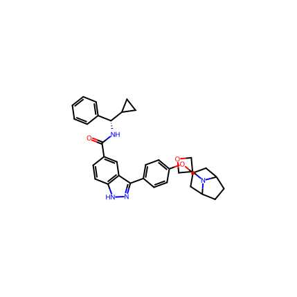 O=C(N[C@H](c1ccccc1)C1CC1)c1ccc2[nH]nc(-c3ccc(OC4CC5CCC(C4)N5C4COC4)cc3)c2c1